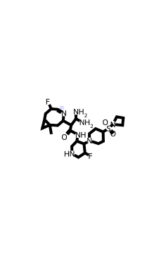 CC12CC(C(C(=O)NC3CNCC(F)C3N3CCC(S(=O)(=O)N4CCC4)CC3)C(N)N)/N=C\C(F)CC1C2